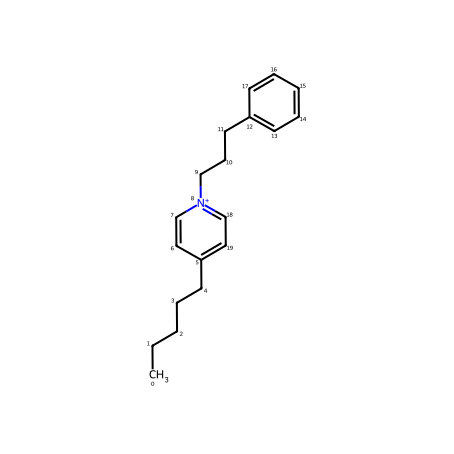 CCCCCc1cc[n+](CCCc2ccccc2)cc1